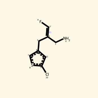 NC/C(=C/F)Cc1csc(Cl)c1